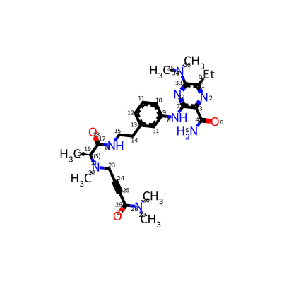 CCc1nc(C(N)=O)c(Nc2cccc(CCNC(=O)[C@H](C)N(C)CC#CC(=O)N(C)C)c2)nc1N(C)C